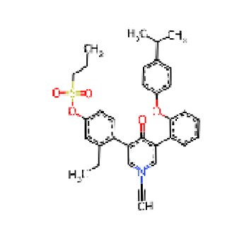 C#Cn1cc(-c2ccc(OS(=O)(=O)CCC)cc2CC)c(=O)c(-c2ccccc2Oc2ccc(C(C)C)cc2)c1